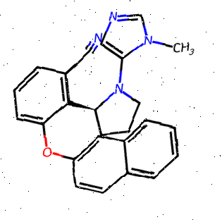 Cn1cncc1N1CCC[C@H]1c1c(C#N)cccc1Oc1ccc2ccccc2c1